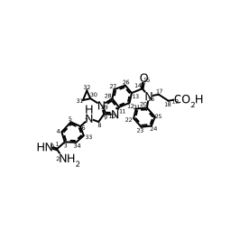 N=C(N)c1ccc(NCc2nc3cc(C(=O)N(CCC(=O)O)c4ccccc4)ccc3n2C2CC2)cc1